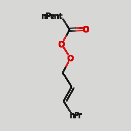 CCC/C=C/COOC(=O)CCCCC